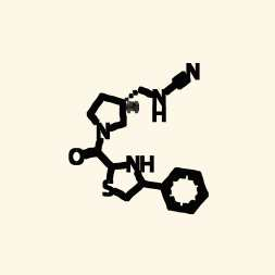 N#CNC[C@H]1CCN(C(=O)C2NC(c3ccccc3)CS2)C1